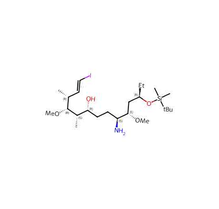 CC[C@H](C[C@H](OC)[C@@H](N)CC[C@@H](O)[C@H](C)[C@H](OC)[C@H](C)/C=C/I)O[Si](C)(C)C(C)(C)C